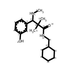 CNC(c1cccc(O)c1)C(C)(C)C(=O)NCC1CCCCC1